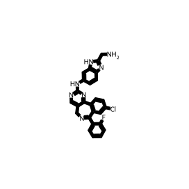 NCc1nc2ccc(Nc3ncc4c(n3)-c3ccc(Cl)cc3C(c3ccccc3F)=NC4)cc2[nH]1